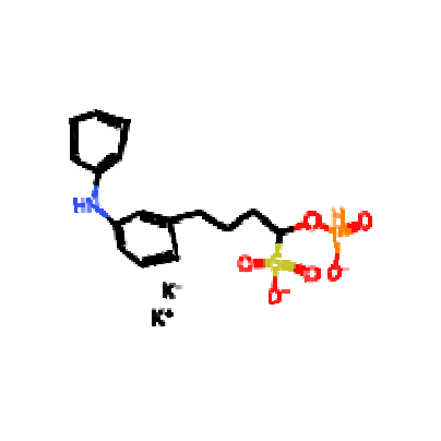 O=[PH]([O-])OC(CCCc1cccc(Nc2ccccc2)c1)S(=O)(=O)[O-].[K+].[K+]